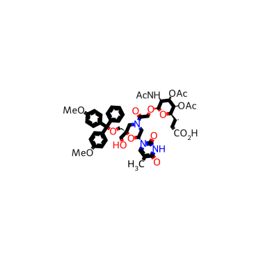 COc1ccc(C(OC[C@]2(CO)CN(C(=O)CO[C@@H]3O[C@H]([CH]CC(=O)O)[C@@H](OC(C)=O)[C@H](OC(C)=O)[C@H]3NC(C)=O)C[C@H](n3cc(C)c(=O)[nH]c3=O)O2)(c2ccccc2)c2ccc(OC)cc2)cc1